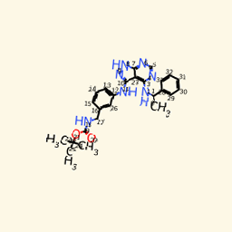 C[C@@H](Nc1ncnc2[nH]nc(Nc3cccc(CNC(=O)OC(C)(C)C)c3)c12)c1ccccc1